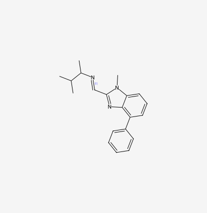 CC(C)C(C)/N=C/c1nc2c(-c3ccccc3)cccc2n1C